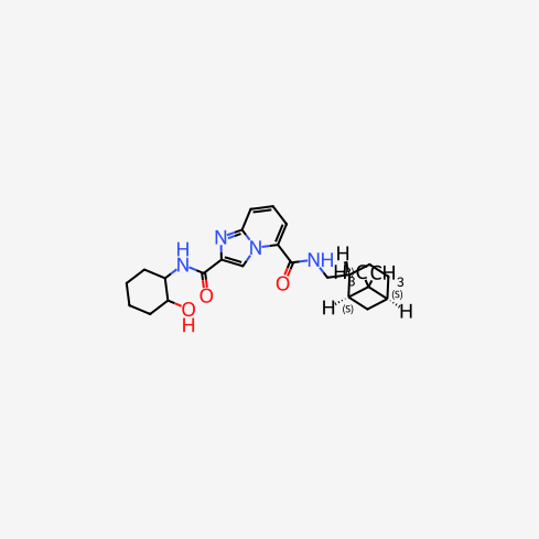 CC1(C)[C@H]2CC[C@@H](CNC(=O)c3cccc4nc(C(=O)NC5CCCCC5O)cn34)[C@@H]1C2